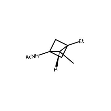 CCC12CC(NC(C)=O)(C1)[C@H]2C